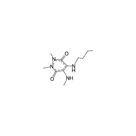 CCCCNc1c(NC)c(=O)n(C)n(C)c1=O